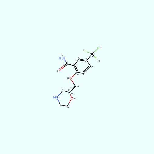 NC(=O)c1cc(C(F)(F)F)ccc1OC[C@@H]1CNCCO1